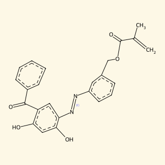 C=C(C)C(=O)OCc1cccc(/N=N/c2cc(C(=O)c3ccccc3)c(O)cc2O)c1